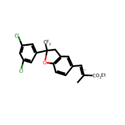 CCOC(=O)/C(C)=C/c1ccc2c(c1)CC(c1cc(Cl)cc(Cl)c1)(C(F)(F)F)O2